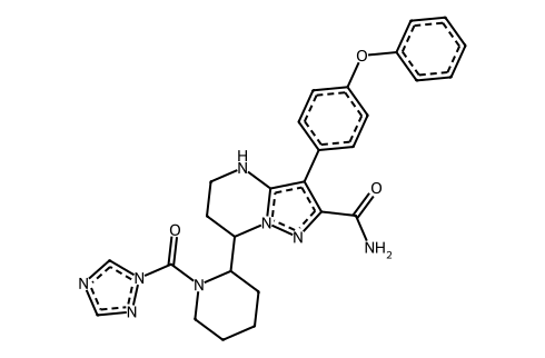 NC(=O)c1nn2c(c1-c1ccc(Oc3ccccc3)cc1)NCCC2C1CCCCN1C(=O)n1cncn1